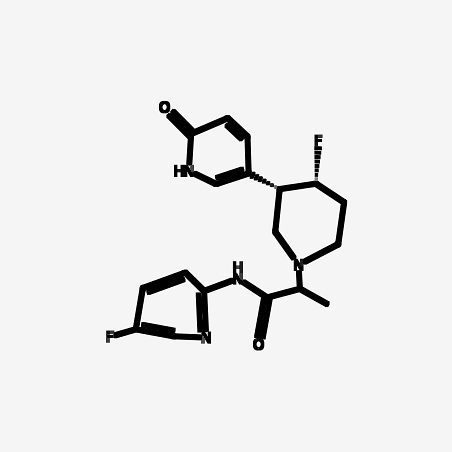 CC(C(=O)Nc1ccc(F)cn1)N1CC[C@@H](F)[C@@H](c2ccc(=O)[nH]c2)C1